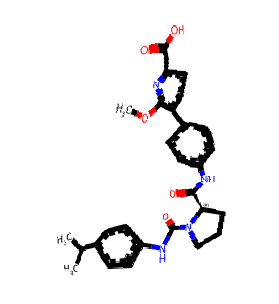 COc1nc(C(=O)O)ccc1-c1ccc(NC(=O)[C@H]2CCCN2C(=O)Nc2ccc(C(C)C)cc2)cc1